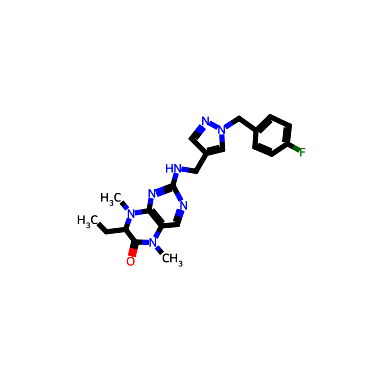 CCC1C(=O)N(C)c2cnc(NCc3cnn(Cc4ccc(F)cc4)c3)nc2N1C